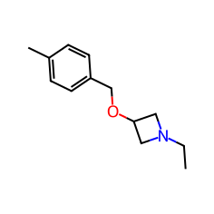 CCN1CC(OCc2ccc(C)cc2)C1